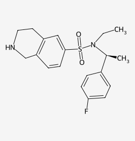 CCN([C@@H](C)c1ccc(F)cc1)S(=O)(=O)c1ccc2c(c1)CCNC2